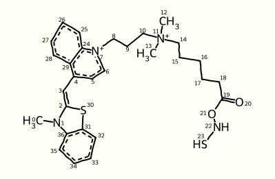 CN1/C(=C/c2cc[n+](CCC[N+](C)(C)CCCCCC(=O)ONS)c3ccccc23)Sc2ccccc21